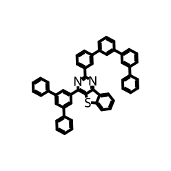 c1ccc(-c2cccc(-c3cccc(-c4cccc(-c5nc(-c6cc(-c7ccccc7)cc(-c7ccccc7)c6)c6sc7ccccc7c6n5)c4)c3)c2)cc1